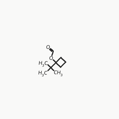 CC(C)(C)C1(OC=O)CCC1